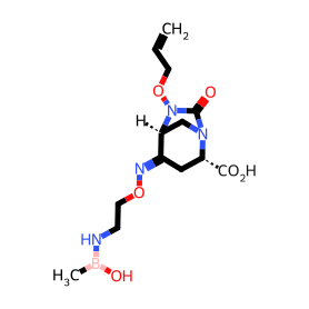 C=CCON1C(=O)N2C[C@H]1C(=NOCCNB(C)O)C[C@H]2C(=O)O